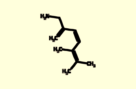 C=C(/C=C\C(C)=C(C)C)CN